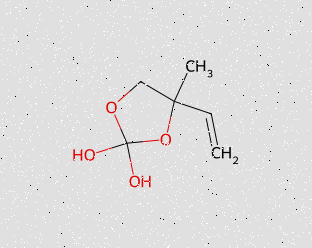 C=CC1(C)COC(O)(O)O1